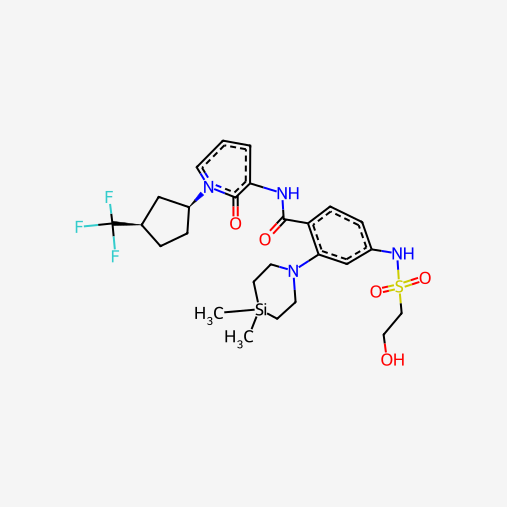 C[Si]1(C)CCN(c2cc(NS(=O)(=O)CCO)ccc2C(=O)Nc2cccn([C@H]3CC[C@@H](C(F)(F)F)C3)c2=O)CC1